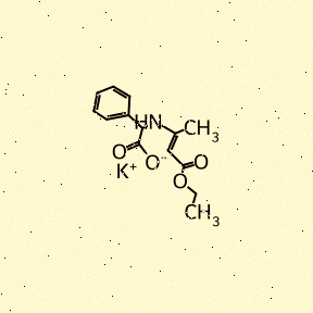 CCOC(=O)C=C(C)NC(C(=O)[O-])c1ccccc1.[K+]